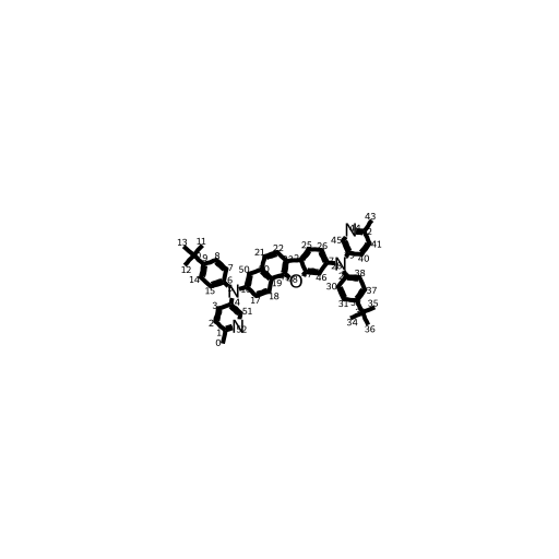 Cc1ccc(N(c2ccc(C(C)(C)C)cc2)c2ccc3c(ccc4c5ccc(N(c6ccc(C(C)(C)C)cc6)c6ccc(C)nc6)cc5oc34)c2)cn1